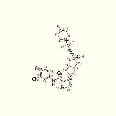 CN1CCN(C(C)(C)C#CC2(O)CC3CC(c4ncn(C)c4C(=O)Nc4ccc(F)c(Cl)c4)CC3C2)CC1